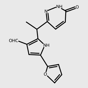 CC(c1ccc(=O)[nH]n1)c1[nH]c(-c2ccco2)cc1C=O